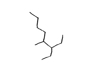 [CH2]CC(CC)C(C)CCCC